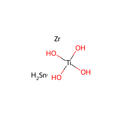 [OH][Ti]([OH])([OH])[OH].[SnH2].[Zr]